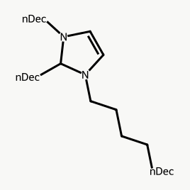 CCCCCCCCCCCCCCN1C=CN(CCCCCCCCCC)C1CCCCCCCCCC